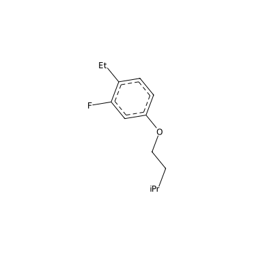 CCc1ccc(OCCC(C)C)cc1F